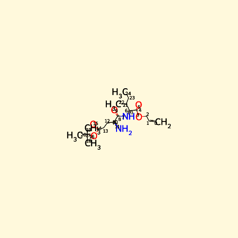 C=CCOC(=O)[C@H](NC(=O)[C@@H](N)CCC(=O)OC(C)(C)C)C(C)CC